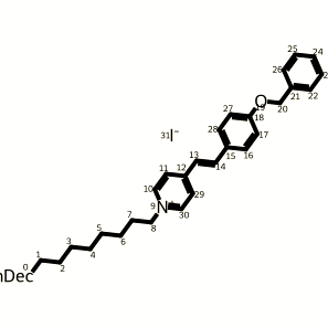 CCCCCCCCCCCCCCCCCC[n+]1ccc(C=Cc2ccc(OCc3ccccc3)cc2)cc1.[I-]